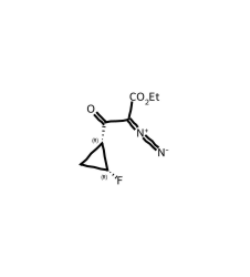 CCOC(=O)C(=[N+]=[N-])C(=O)[C@H]1C[C@H]1F